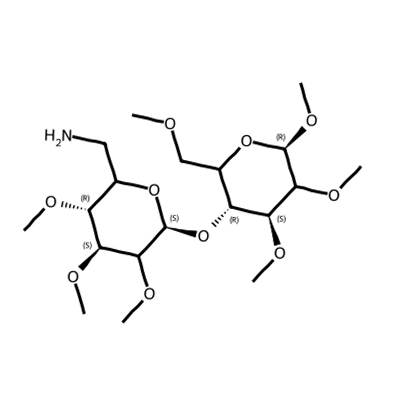 COCC1O[C@@H](OC)C(OC)[C@@H](OC)[C@@H]1O[C@@H]1OC(CN)[C@@H](OC)[C@H](OC)C1OC